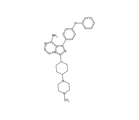 CN1CCN(C2CCC(c3nc(-c4ccc(Oc5ccccc5)cc4)c4c(N)nccn34)CC2)CC1